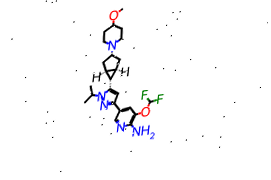 COC1CCN([C@@H]2C[C@@H]3[C@H](C2)[C@H]3c2cc(-c3cnc(N)c(OC(F)F)c3)nn2C(C)C)CC1